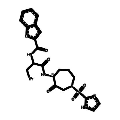 CC(C)CC(NC(=O)c1cc2ccccc2o1)C(=O)N[C@H]1CCCN(S(=O)(=O)c2ncc[nH]2)CC1=O